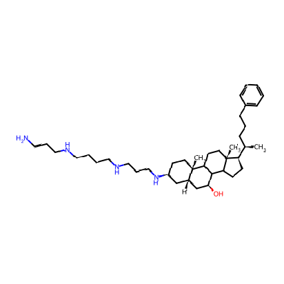 C[C@H](CCCc1ccccc1)[C@H]1CCC2C3C(CC[C@@]21C)[C@@]1(C)CC[C@H](NCCCNCCCCNCCCN)C[C@H]1C[C@@H]3O